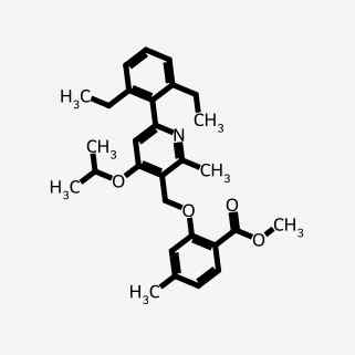 CCc1cccc(CC)c1-c1cc(OC(C)C)c(COc2cc(C)ccc2C(=O)OC)c(C)n1